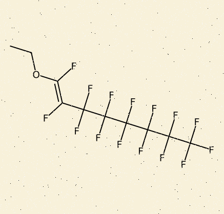 CCOC(F)=C(F)C(F)(F)C(F)(F)C(F)(F)C(F)(F)C(F)(F)C(F)(F)F